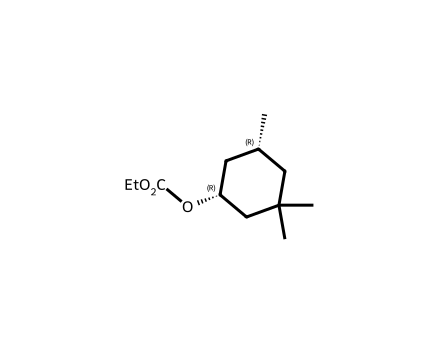 CCOC(=O)O[C@@H]1C[C@H](C)CC(C)(C)C1